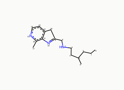 CCCC(C)CCNCC1=Nc2c(ccnc2C)C1